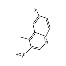 Cc1c(C(=O)O)cnc2ccc(Br)cc12